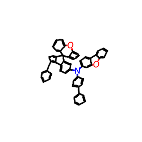 c1ccc(-c2ccc(N(c3ccc4c(c3)C3(c5ccccc5Oc5ccccc53)c3cccc(-c5ccccc5)c3-4)c3ccc4c(c3)oc3ccccc34)cc2)cc1